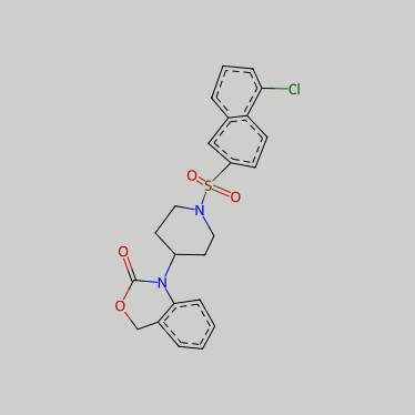 O=C1OCc2ccccc2N1C1CCN(S(=O)(=O)c2ccc3c(Cl)cccc3c2)CC1